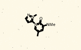 CNc1cc(C)cn(-c2ccnn2C)c1=O